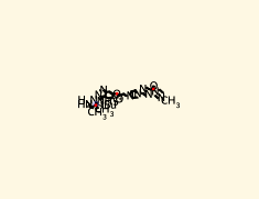 CC(=N)/C(C)=C(\N)Nc1ncnc2cc(OCCCN3CCN(c4cnc(C(=O)N5CCN(C)CC5)cn4)CC3)c([S+]([O-])C(C)(C)C)cc12